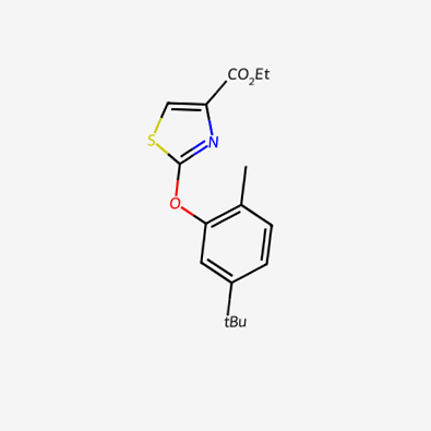 CCOC(=O)c1csc(Oc2cc(C(C)(C)C)ccc2C)n1